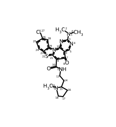 CN(C)c1ncc2c(=O)c(C(=O)NCCC3CCCN3C)c3sc4ccc(Cl)cc4n3c2n1